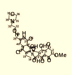 COC1=CC(=O)c2c(O)c3c(c(O)c2C1=O)C(=O)[C@]1(CCc2c1c(O)c1c(=O)[nH]c(C=NOCCN4CCOCC4)cc1c2Cl)C3=O